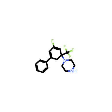 FC1=CC(N2CCNCC2)(C(F)(F)F)CC(c2ccccc2)=C1